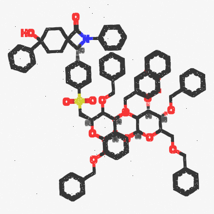 O=C1N(c2ccccc2)[C@H](c2ccc(S(=O)(=O)C[C@@H]3OC(COCc4ccccc4)[C@@H](O[C@@H]4OC(COCc5ccccc5)[C@@H](OCc5ccccc5)[C@@H](OCc5ccccc5)C4OCc4ccccc4)[C@@H](OCc4ccccc4)C3OCc3ccccc3)cc2)C12CCC(O)(c1ccccc1)CC2